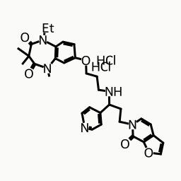 CCN1C(=O)C(C)(C)C(=O)N(C)c2cc(OCCCNC(CCn3ccc4ccoc4c3=O)c3ccncc3)ccc21.Cl.Cl